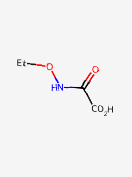 CCONC(=O)C(=O)O